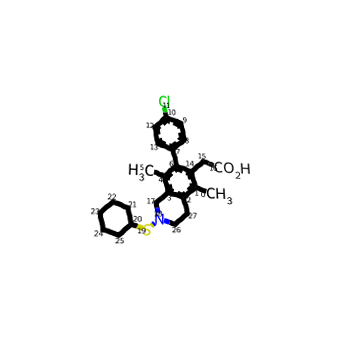 Cc1c2c(c(C)c(-c3ccc(Cl)cc3)c1CC(=O)O)CN(SC1CCCCC1)CC2